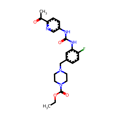 CCOC(=O)N1CCN(Cc2ccc(F)c(NC(=O)Nc3ccc(C(C)=O)nc3)c2)CC1